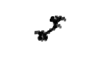 Cc1cc(CC(=O)N2C[C@H](O)C[C@H]2C(=O)NCc2ccc(-c3scnc3C)cc2OCCOCCOCCO[C@@H]2C[C@@H](COc3nc4c(c(N5CCN(C(N)=O)[C@@H](CC#N)C5)n3)CCN(c3cccc5ccccc35)C4)N(C)C2)on1